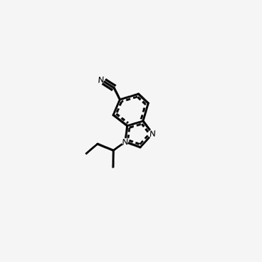 CCC(C)n1cnc2ccc(C#N)cc21